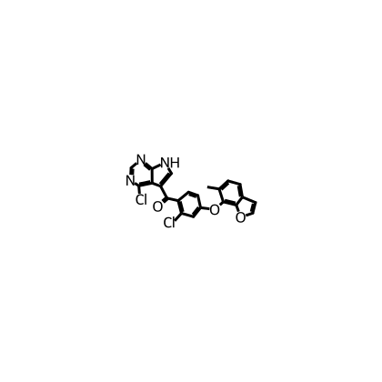 Cc1ccc2ccoc2c1Oc1ccc(C(=O)c2c[nH]c3ncnc(Cl)c23)c(Cl)c1